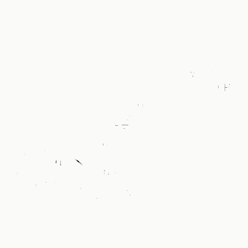 CC1CCCN1CCCOc1ccc(N2C(=S)CC[C@H]2CN2CCCCC2)cc1